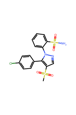 CS(=O)(=O)c1cnn(-c2ccccc2S(N)(=O)=O)c1-c1ccc(Cl)cc1